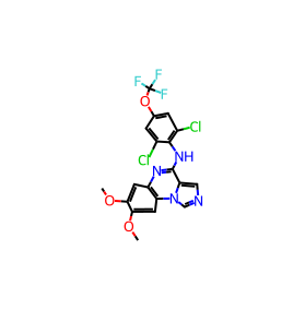 COc1cc2nc(Nc3c(Cl)cc(OC(F)(F)F)cc3Cl)c3cncn3c2cc1OC